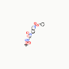 CC(C)(C)OC(=O)NC[C@@H]1CN(c2ccc3c(c2)CCN(C(=O)OCc2ccccc2)C3)C(=O)O1